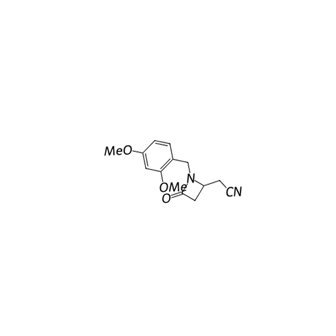 COc1ccc(CN2C(=O)CC2CC#N)c(OC)c1